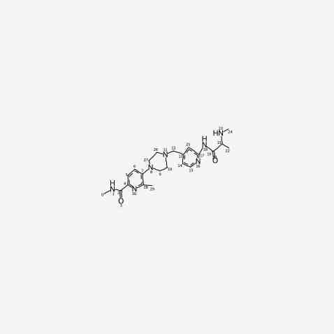 CNC(=O)c1ccc(N2CCN(Cc3ccnc(NC(=O)C(C)NC)c3)CC2)c(C)n1